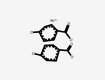 O=C([O-])c1ccc(Cl)cc1.O=C([O-])c1ccc(Cl)cc1.[Pb+2]